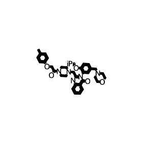 Cc1ccc(OCC(=O)N2CCN(Cc3nc4ccccc4c(=O)n3-c3cc(CN4CCOCC4)ccc3OC(C)C)CC2)cc1